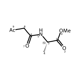 COC(=O)[C@H](C)NC(=O)CC(C)=O